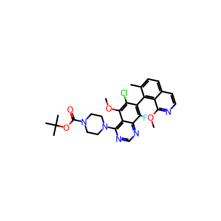 COc1nccc2ccc(C)c(-c3c(Cl)c(OC)c4c(N5CCN(C(=O)OC(C)(C)C)CC5)ncnc4c3F)c12